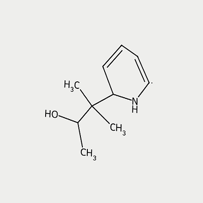 CC(O)C(C)(C)C1C=CC=[C]N1